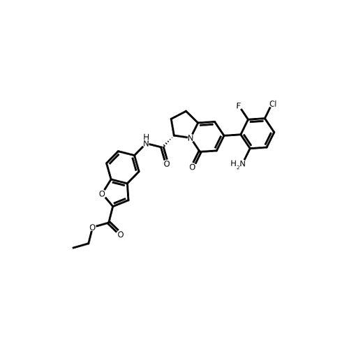 CCOC(=O)c1cc2cc(NC(=O)[C@@H]3CCc4cc(-c5c(N)ccc(Cl)c5F)cc(=O)n43)ccc2o1